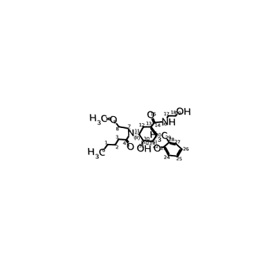 CCCCC(=O)N(CCOC)[C@@H]1CC(C(=O)NCCO)=C[C@H](Oc2ccccc2C)[C@H]1O